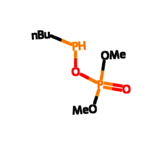 CCCCPOP(=O)(OC)OC